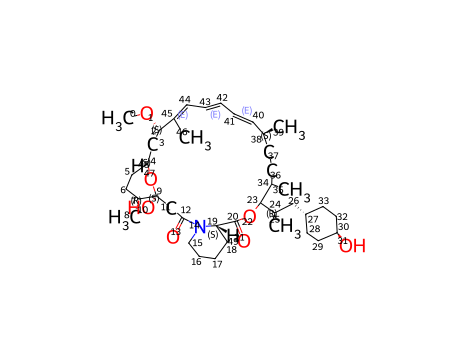 CO[C@H]1C[C@@H]2CC[C@@H](C)[C@](O)(CC(=O)N3CCCC[C@H]3C(=O)OC([C@H](C)C[C@H]3CC[C@H](O)CC3)C(C)CC[C@H](C)/C=C/C=C/C=C/1C)O2